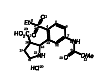 CCS(=O)(=O)c1ccc(NC(=O)OC)cc1C1NCCC1C(=O)O.Cl